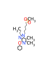 CCCc1nc2c(Oc3ccccc3)nc(C)c(C)c2n1CCCCCCS(C)(=O)=O